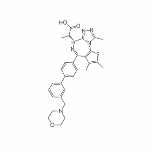 Cc1sc2c(c1C)C(c1ccc(-c3cccc(CN4CCOCC4)c3)cc1)=N[C@@H](C(C)C(=O)O)c1nnc(C)n1-2